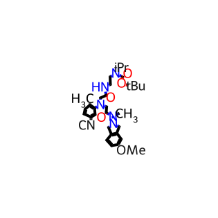 COc1ccc2c(c1)CN(N(C)C(=O)CN(CC(=O)NCCN(C(=O)OC(C)(C)C)C(C)C)c1cc(C#N)ccc1C)C2